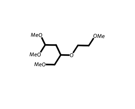 COCCOC(COC)CC(OC)OC